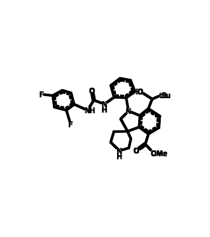 COC(=O)c1ccc(C(O)C(C)(C)C)c2c1C1(CCNCC1)CN2c1ccccc1NC(=O)Nc1ccc(F)cc1F